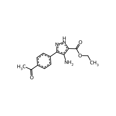 CCOC(=O)c1[nH]nc(-c2ccc(C(C)=O)cc2)c1N